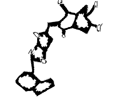 O=C1C(=Cc2cc3oc(-c4cccc5ccccc45)nc3o2)C(=O)c2cc(Cl)c(Cl)cc21